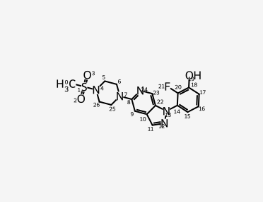 CS(=O)(=O)N1CCN(c2cc3cnn(-c4cccc(O)c4F)c3cn2)CC1